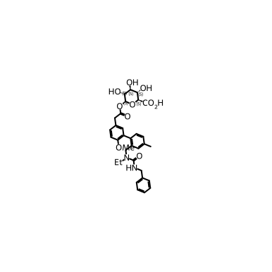 CCN(Cc1cc(C)ccc1-c1cc(CC(=O)O[C@@H]2O[C@H](C(=O)O)[C@@H](O)[C@H](O)[C@H]2O)ccc1OC)C(=O)NCc1ccccc1